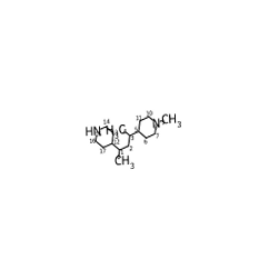 CC(CC(C)C1CCN(C)CC1)C1CCNCC1